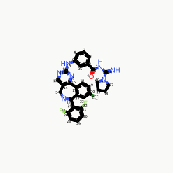 N=C(NC(=O)c1cccc(Nc2ncc3c(n2)-c2ccc(Cl)cc2C(c2c(F)cccc2F)=NC3)c1)N1CCCC1